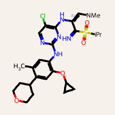 CN/C=C(/Nc1nc(Nc2cc(C)c(C3CCOCC3)cc2OC2CC2)ncc1Cl)C(=N)S(=O)(=O)C(C)C